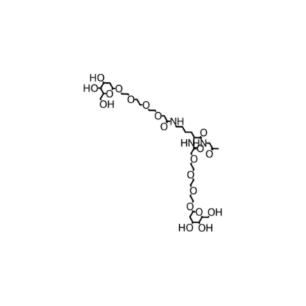 CC(=O)CNC(=O)C(CCCCNC(=O)COCCOCCOCCOC1CC(O)C(O)C(CO)O1)NC(=O)COCCOCCOCCOC1CC(O)C(O)C(CO)O1